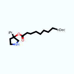 CCCCCCCCCCCCCCCCCC(=O)OC1(C(C)C)CCNC1